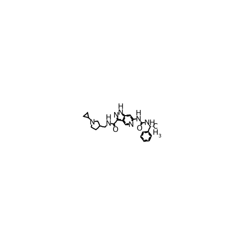 C[C@@H](NC(=O)Nc1cc2[nH]nc(C(=O)NCC3CCN(C4CC4)C3)c2cn1)c1ccccc1